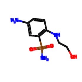 Nc1ccc(NCCO)c(S(N)(=O)=O)c1